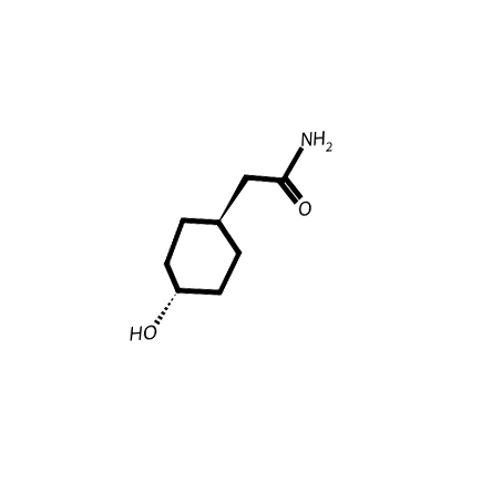 NC(=O)C[C@H]1CC[C@H](O)CC1